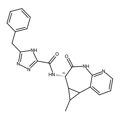 CC1C2c3cccnc3NC(=O)[C@@H](NC(=O)c3nnc(Cc4ccccc4)[nH]3)C12